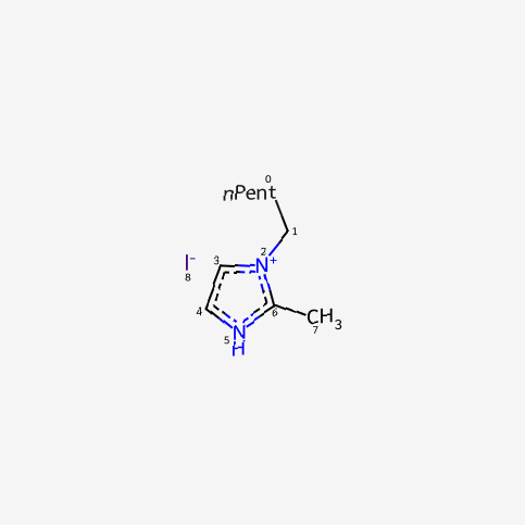 CCCCCC[n+]1cc[nH]c1C.[I-]